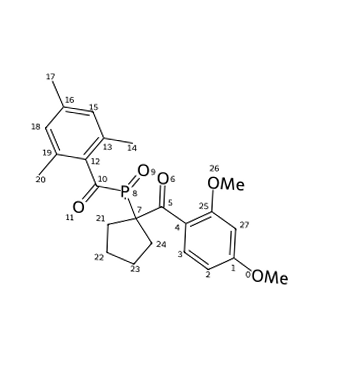 COc1ccc(C(=O)C2([P](=O)C(=O)c3c(C)cc(C)cc3C)CCCC2)c(OC)c1